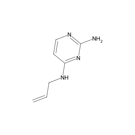 C=CCNc1ccnc(N)n1